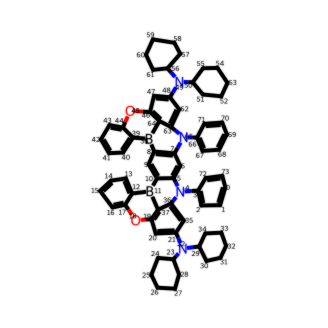 c1ccc(N2c3cc4c(cc3B3c5ccccc5Oc5cc(N(C6CCCCC6)C6CCCCC6)cc2c53)B2c3ccccc3Oc3cc(N(C5CCCCC5)C5CCCCC5)cc(c32)N4c2ccccc2)cc1